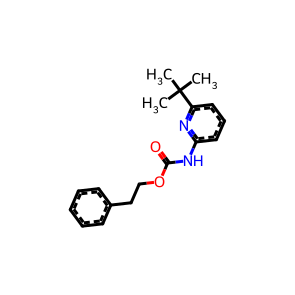 CC(C)(C)c1cccc(NC(=O)OCCc2ccccc2)n1